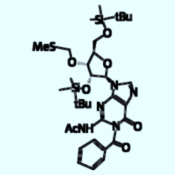 CSCO[C@H]1[C@@H](O[Si](C)(C)C(C)(C)C)[C@H](n2cnc3c(=O)n(C(=O)c4ccccc4)c(NC(C)=O)nc32)O[C@@H]1CO[Si](C)(C)C(C)(C)C